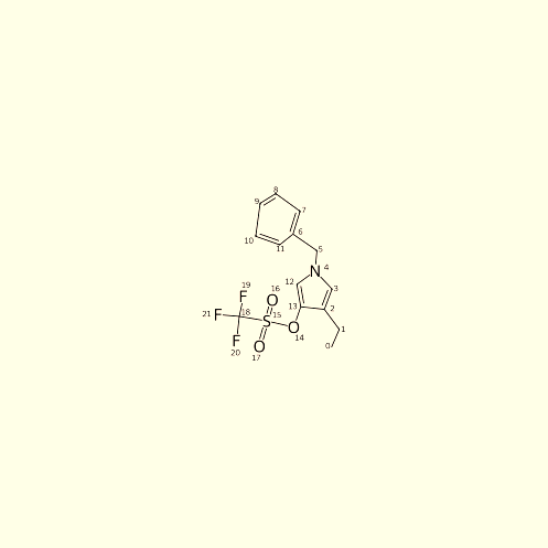 CCc1cn(Cc2ccccc2)cc1OS(=O)(=O)C(F)(F)F